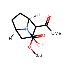 COC(=O)C1C(O)C[C@H]2CC[C@@H]1N2C(=O)OC(C)(C)C